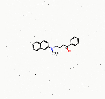 O=C(O)N(CCC[C@H](O)c1ccccc1)c1ccc2ccccc2c1